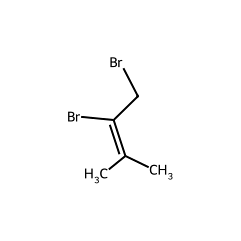 CC(C)=C(Br)CBr